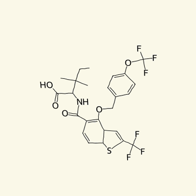 CCC(C)(C)C(NC(=O)C1=C(OCc2ccc(OC(F)(F)F)cc2)C2C=C(C(F)(F)F)SC2C=C1)C(=O)O